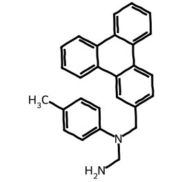 Cc1ccc(N(CN)Cc2ccc3c4ccccc4c4ccccc4c3c2)cc1